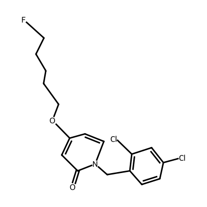 O=c1cc(OCCCCCF)ccn1Cc1ccc(Cl)cc1Cl